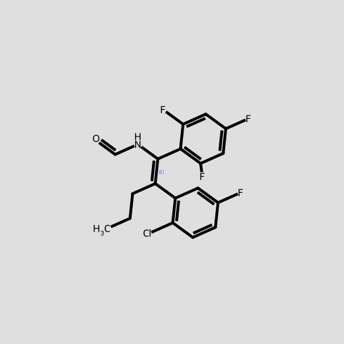 CCC/C(=C(\NC=O)c1c(F)cc(F)cc1F)c1cc(F)ccc1Cl